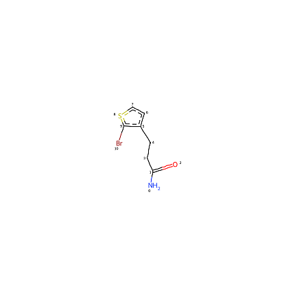 NC(=O)CCc1ccsc1Br